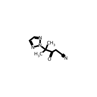 CC(C)(C(=O)CC#N)n1nccn1